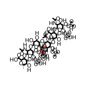 CC(=O)NC1C(O)[C@H](OO[SH](=O)=O)[C@H](COS(=O)(=O)O)O[C@H]1O[C@@H]1C(C(=O)O)O[C@@H](O[C@@H]2C(NC(C)=O)[C@H](O[C@H]3C(O)C(O)[C@H](OC4C(NC(C)=O)[C@H](O[C@@H]5C(C(=O)O)O[C@@H](C)C(O)[C@H]5O)O[C@@H](COS(=O)(=O)O)[C@H]4OO[SH](=O)=O)O[C@H]3C(=O)O)OC(COS(=O)(=O)O)[C@@H]2OO[SH](=O)=O)C(O)[C@H]1O